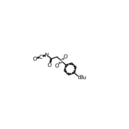 CC(C)(C)c1ccc(S(=O)(=O)CC(=O)N=C=O)cc1